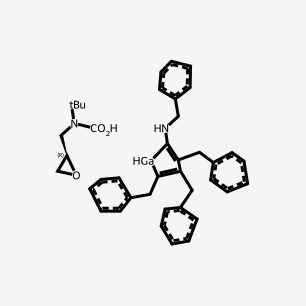 CC(C)(C)N(C[C@@H]1CO1)C(=O)O.c1ccc(CN[C]2=C(Cc3ccccc3)C(Cc3ccccc3)=[C](Cc3ccccc3)[GaH]2)cc1